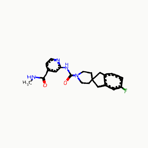 CNC(=O)c1ccnc(NC(=O)N2CCC3(CC2)Cc2ccc(F)cc2C3)c1